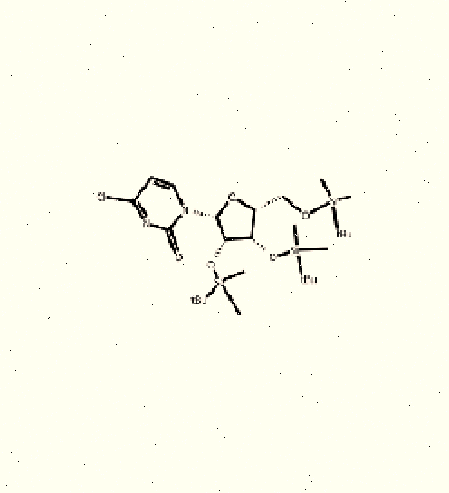 CC(C)(C)[Si](C)(C)OC[C@H]1O[C@@H](n2ccc(Cl)nc2=O)[C@@H](O[Si](C)(C)C(C)(C)C)[C@H]1O[Si](C)(C)C(C)(C)C